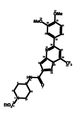 CCOC(=O)N1CCC(NC(=O)c2cc3nc(-c4ccc(OC)c(OC)c4)cc(C(F)(F)F)n3n2)CC1